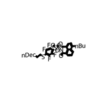 CCCCCCCCCCCCSc1c(F)c(F)c(S(=O)(=O)ON2C(=O)c3cccc4c(CCCC)ccc(c34)C2=O)c(F)c1F